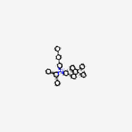 c1ccc(-c2ccc(-c3ccc(N(c4ccc(-c5cccc6c(-c7ccccc7)c(-c7ccccc7)c7ccccc7c56)cc4)c4cc(-c5ccccc5)cc(-c5ccccc5)c4)cc3)cc2)cc1